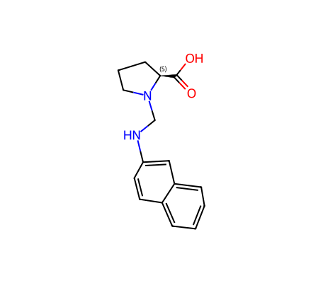 O=C(O)[C@@H]1CCCN1CNc1ccc2ccccc2c1